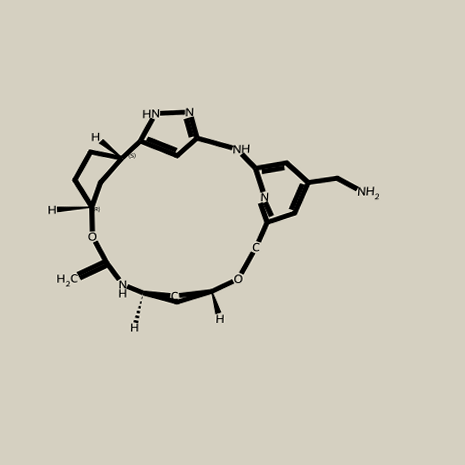 C=C1N[C@H]2C[C@@H](C2)OCc2cc(CN)cc(n2)Nc2cc([nH]n2)[C@H]2CC[C@H](C2)O1